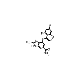 Cc1nc2c(OC3=CCOc4cc(F)cc(F)c43)cc(C(N)=O)cc2[nH]1